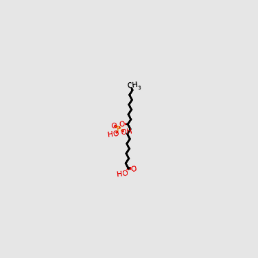 CCCCCCCCC(CCCCCCCCC(=O)O)OP(=O)(O)O